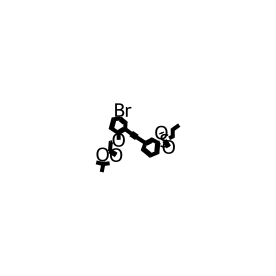 CCCS(=O)(=O)c1cccc(C#Cc2cc(Br)ccc2OCC(=O)OC(C)(C)C)c1